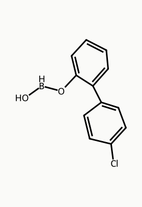 OBOc1ccccc1-c1ccc(Cl)cc1